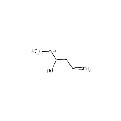 C=CCC(O)NC(=O)O